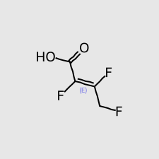 O=C(O)/C(F)=C(\F)CF